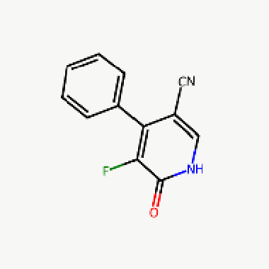 N#Cc1c[nH]c(=O)c(F)c1-c1ccccc1